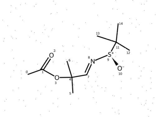 CC(=O)OC(C)(C)C=N[S@+]([O-])C(C)(C)C